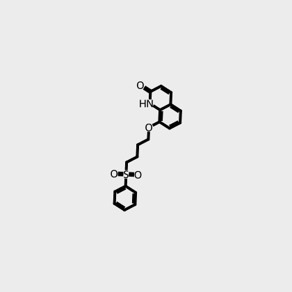 O=c1ccc2cccc(OCCCCS(=O)(=O)c3ccccc3)c2[nH]1